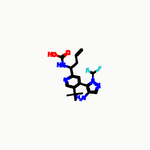 C=CCC(NC(=O)O)c1cc(-c2c(N)cnn2C(F)F)c(C(C)(C)C)cn1